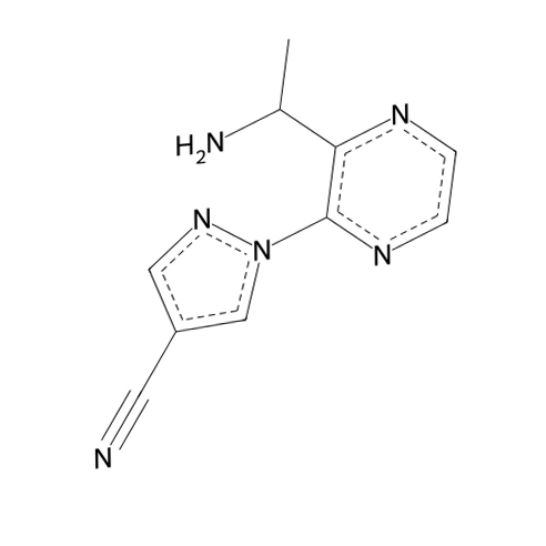 CC(N)c1nccnc1-n1cc(C#N)cn1